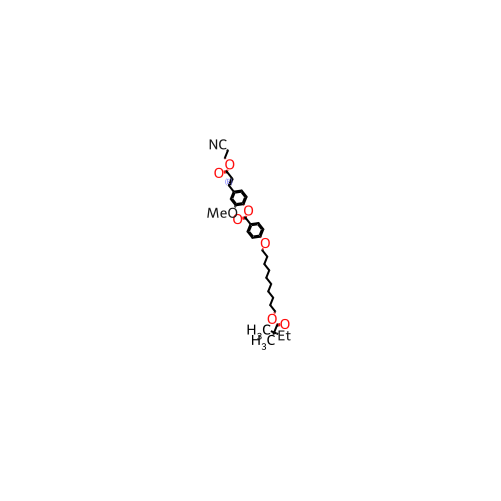 CCC(C)(C)C(=O)OCCCCCCCCCCOc1ccc(C(=O)Oc2ccc(/C=C/C(=O)OCCC#N)cc2OC)cc1